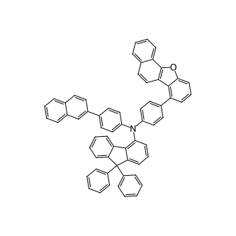 c1ccc(C2(c3ccccc3)c3ccccc3-c3c(N(c4ccc(-c5ccc6ccccc6c5)cc4)c4ccc(-c5cccc6oc7c8ccccc8ccc7c56)cc4)cccc32)cc1